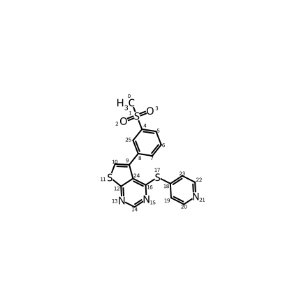 CS(=O)(=O)c1cccc(-c2csc3ncnc(Sc4ccncc4)c23)c1